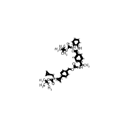 C[C@@H](NC(=O)OCc1ccc(C2C[C@@H]2N(CC2CC2)C(=O)OC(C)(C)C)cc1)c1ccc(C(=O)Nc2ccccc2NC(=O)OC(C)(C)C)cc1